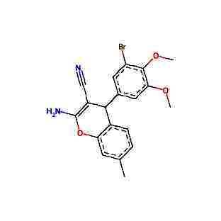 COc1cc(C2C(C#N)=C(N)Oc3cc(C)ccc32)cc(Br)c1OC